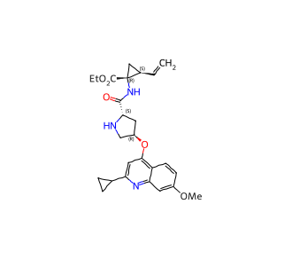 C=C[C@@H]1C[C@]1(NC(=O)[C@@H]1C[C@@H](Oc2cc(C3CC3)nc3cc(OC)ccc23)CN1)C(=O)OCC